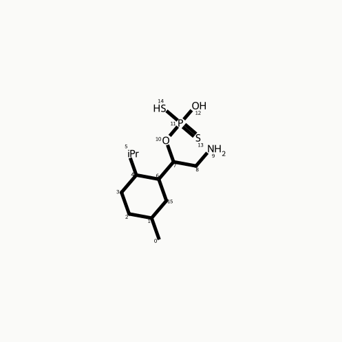 CC1CCC(C(C)C)C(C(CN)OP(O)(=S)S)C1